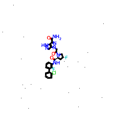 NC(=O)c1nn(CC(=O)N2C[C@H](F)C[C@H]2C(=O)Nc2cccc(-c3ccccc3Cl)c2F)c2cn[nH]c12